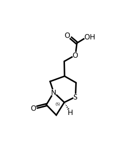 O=C(O)OCC1CS[C@H]2CC(=O)N2C1